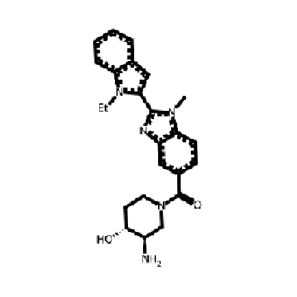 CCn1c(-c2nc3cc(C(=O)N4CC[C@@H](O)[C@H](N)C4)ccc3n2C)cc2ccccc21